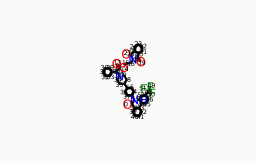 O=C(Nc1ccc(C2CCN(C(C(=O)OCCN3C(=O)c4ccccc4C3=O)c3ccccc3)CC2)cc1)c1ccccc1-c1ccc(C(F)(F)F)cc1